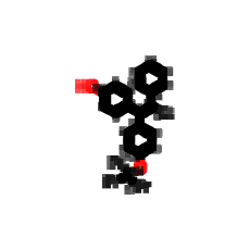 CC/C(=C(/c1ccc(O)cc1)c1ccc(O[Si](C(C)C)(C(C)C)C(C)C)cc1)c1ccccc1